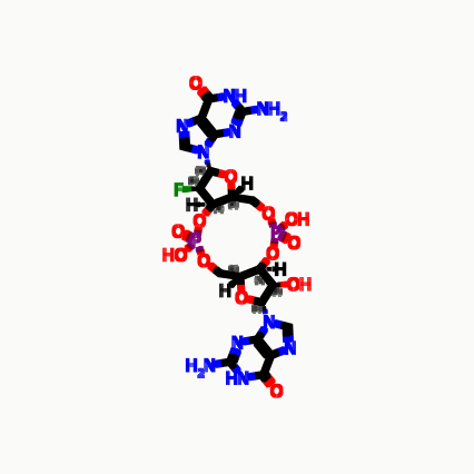 Nc1nc2c(ncn2[C@@H]2O[C@@H]3COP(=O)(O)O[C@H]4[C@@H](F)[C@H](n5cnc6c(=O)[nH]c(N)nc65)O[C@@H]4COP(=O)(O)O[C@H]3[C@H]2O)c(=O)[nH]1